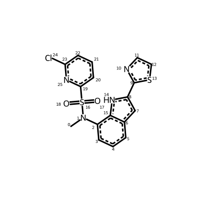 CN(c1cccc2cc(-c3nccs3)[nH]c12)S(=O)(=O)c1cccc(Cl)n1